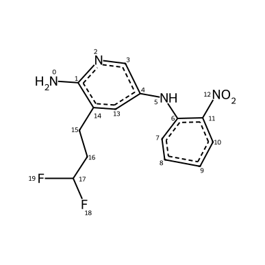 Nc1ncc(Nc2ccccc2[N+](=O)[O-])cc1CCC(F)F